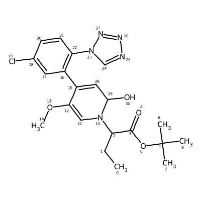 CCC(C(=O)OC(C)(C)C)N1C=C(OC)C(c2cc(Cl)ccc2-n2cnnn2)=CC1O